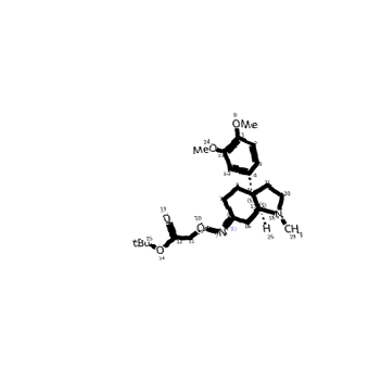 COc1ccc([C@@]23CC/C(=N\OCC(=O)OC(C)(C)C)C[C@@H]2N(C)CC3)cc1OC